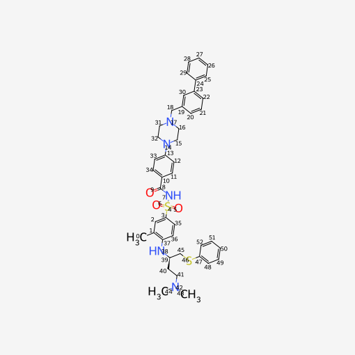 Cc1cc(S(=O)(=O)NC(=O)c2ccc(N3CCN(Cc4cccc(-c5ccccc5)c4)CC3)cc2)ccc1N[C@H](CCN(C)C)CSc1ccccc1